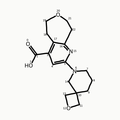 O=C(O)c1cc(N2CCCC3(COC3)C2)nc2c1CCOCC2